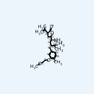 COCCOc1cc(C[C@@H](C[C@H](N)C2CC(C(C)C)C(=O)O2)C(C)C)ccc1C